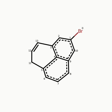 Brc1cc2c3c(cccc3c1)CC=C2